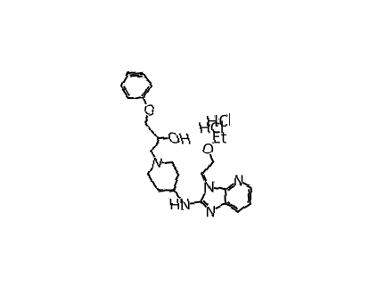 CCOCCn1c(NC2CCN(CC(O)COc3ccccc3)CC2)nc2cccnc21.Cl.Cl